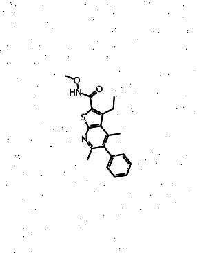 CCc1c(C(=O)NOC)sc2nc(C)c(-c3ccccc3)c(C)c12